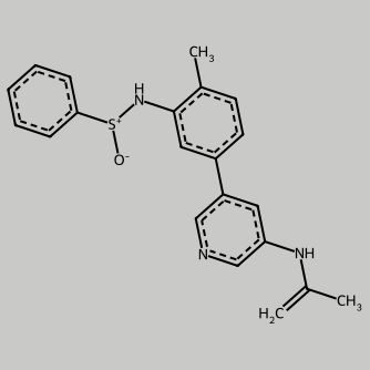 C=C(C)Nc1cncc(-c2ccc(C)c(N[S+]([O-])c3ccccc3)c2)c1